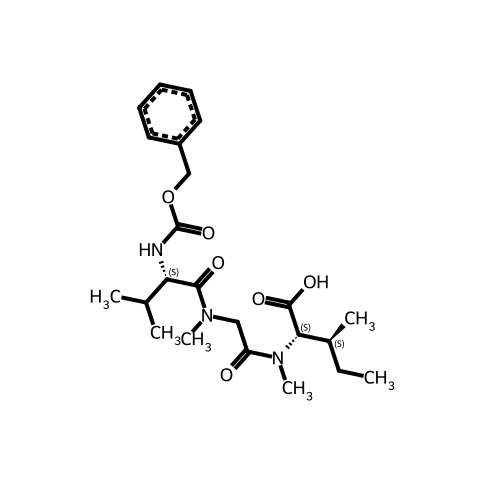 CC[C@H](C)[C@@H](C(=O)O)N(C)C(=O)CN(C)C(=O)[C@@H](NC(=O)OCc1ccccc1)C(C)C